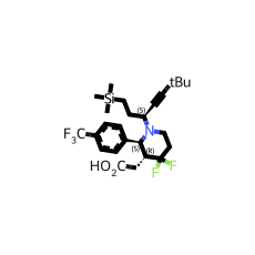 CC(C)(C)C#C[C@H](CC[Si](C)(C)C)N1CCC(F)(F)[C@H](CC(=O)O)[C@H]1c1ccc(C(F)(F)F)cc1